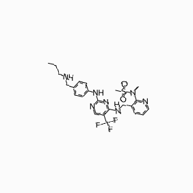 CCCNCc1ccc(Nc2ncc(C(F)(F)F)c(NCc3cccnc3N(C)S(C)(=O)=O)n2)cc1